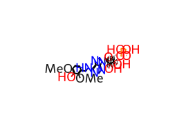 COc1ccc(CNc2ncnc3c2ncn3[C@@H]2O[C@H](COP(=O)(O)O)[C@@H](O)[C@H]2O)c(OC)c1O